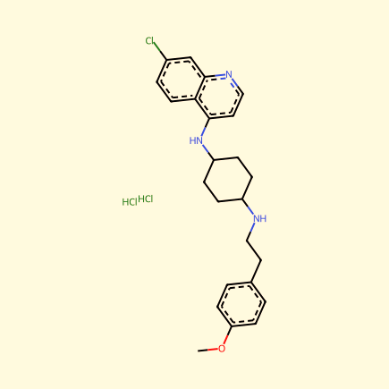 COc1ccc(CCNC2CCC(Nc3ccnc4cc(Cl)ccc34)CC2)cc1.Cl.Cl